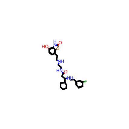 O=C(CC(NCCc1cccc(F)c1)C1CCCCC1)NCCNCCc1ccc(O)c2[nH]c(=O)sc12